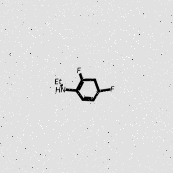 CCNC1=C(F)C[C](F)C=C1